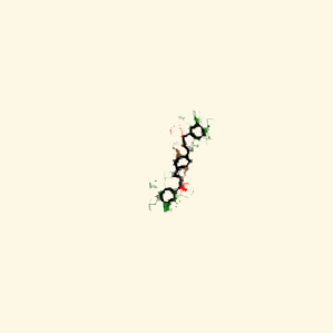 O=C(c1cc2cc3sc(C(=O)c4c(F)c(F)c(F)c(F)c4F)cc3cc2s1)c1c(F)c(F)c(F)c(F)c1F